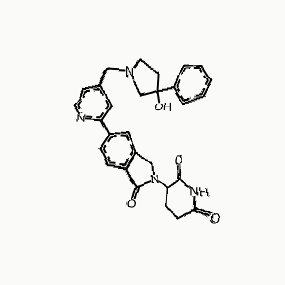 O=C1CCC(N2Cc3cc(-c4cc(CN5CCC(O)(c6ccccc6)C5)ccn4)ccc3C2=O)C(=O)N1